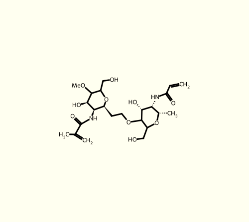 C=CC(=O)N[C@@H]1[C@H](C)OC(CO)C(OCC[C@@H]2OC(CO)C(OC)[C@H](O)[C@@H]2NC(=O)C(=C)C)[C@@H]1O